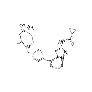 CC1CN(C(=O)O)CCN1Cc1ccc(-c2cccn3nc(NC(=O)C4CC4)cc23)cc1